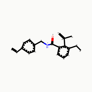 C=Cc1ccc(CNC(=O)c2cccc(CC)c2C(=C)C)cc1